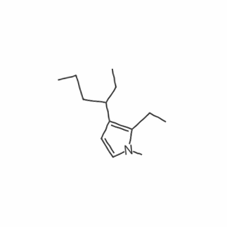 CCCC(CC)c1ccn(C)c1CC